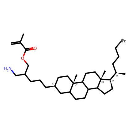 C=C(C)C(=O)OCC(CN)CCC[C@H]1CC[C@@]2(C)C(CCC3C2CC[C@@]2(C)C3CC[C@@H]2[C@H](C)CCCC(C)C)C1